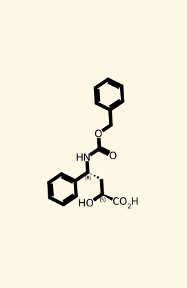 O=C(N[C@H](C[C@H](O)C(=O)O)c1ccccc1)OCc1ccccc1